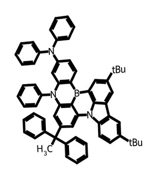 CC(C)(C)c1ccc2c(c1)c1cc(C(C)(C)C)cc3c1n2-c1cc(C(C)(c2ccccc2)c2ccccc2)cc2c1B3c1ccc(N(c3ccccc3)c3ccccc3)cc1N2c1ccccc1